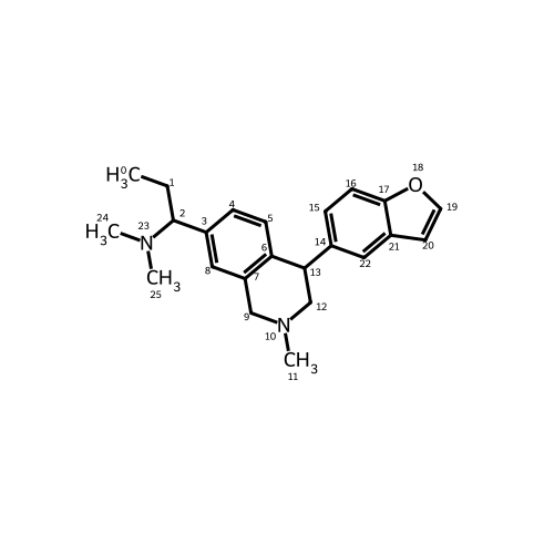 CCC(c1ccc2c(c1)CN(C)CC2c1ccc2occc2c1)N(C)C